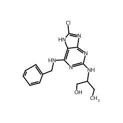 CCC(CO)Nc1nc(NCc2ccccc2)c2[nH]c(Cl)nc2n1